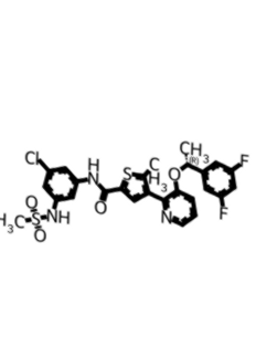 Cc1sc(C(=O)Nc2cc(Cl)cc(NS(C)(=O)=O)c2)cc1-c1ncccc1O[C@H](C)c1cc(F)cc(F)c1